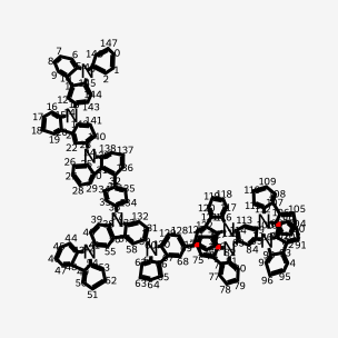 c1ccc(-n2c3ccccc3c3cc(-n4c5ccccc5c5cc(-n6c7ccccc7c7c(-c8ccc(-n9c%10ccc(-n%11c%12ccccc%12c%12ccccc%12%11)cc%10c%10cc(-n%11c%12ccccc%12c%12cc(-c%13ccc%14c(c%13)c%13ccccc%13n%14-c%13cc(-n%14c%15ccccc%15c%15ccccc%15%14)c(-n%14c%15ccccc%15c%15ccccc%15%14)cc%13-n%13c%14ccccc%14c%14ccccc%14%13)ccc%12%11)ccc%109)cc8)cccc76)ccc54)ccc32)cc1